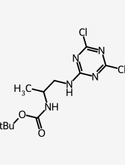 CC(CNc1nc(Cl)nc(Cl)n1)NC(=O)OC(C)(C)C